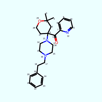 CC1(C)CC(C(=O)c2ccccn2)(N2CCN(CCc3ccccc3)CC2)CCO1